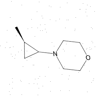 C[C@@H]1CC1N1CCOCC1